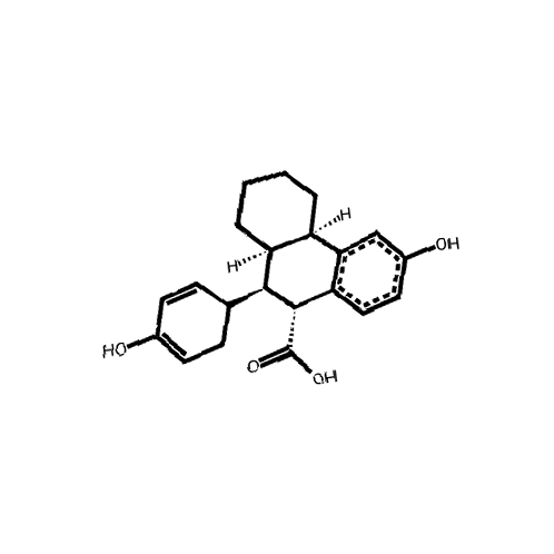 O=C(O)[C@H]1c2ccc(O)cc2[C@@H]2CCCC[C@@H]2[C@@H]1C1C=CC(O)=CC1